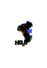 C[C@@H](C[C@H](NC(=O)c1ccc(-c2cc(C(=O)O)ccc2Cl)cc1)C(=O)NC1(C#N)CCSCC1)c1ccccc1